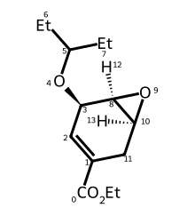 CCOC(=O)C1=C[C@@H](OC(CC)CC)[C@H]2O[C@H]2C1